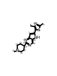 Cc1nc(C)c(-c2cc3nc(C4CCN(C)CC4)ncc3[nH]2)s1